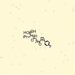 CC(C)CC(NC(=O)CN(C)C(=O)C1CCN1c1ccc(F)cc1)B(O)O